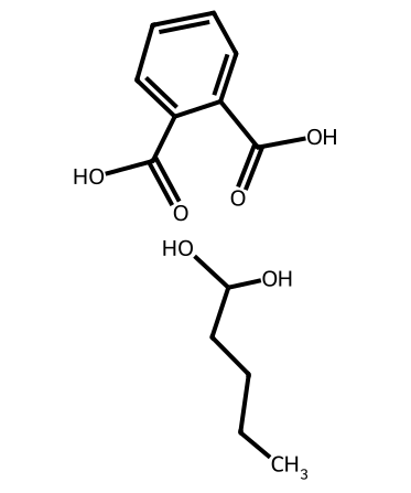 CCCCC(O)O.O=C(O)c1ccccc1C(=O)O